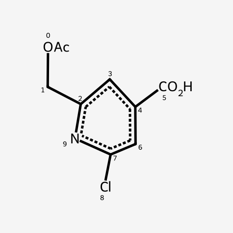 CC(=O)OCc1cc(C(=O)O)cc(Cl)n1